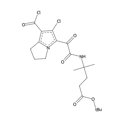 CC(C)(CCC(=O)OC(C)(C)C)NC(=O)C(=O)c1c(Cl)c(C(=O)Cl)c2n1CCC2